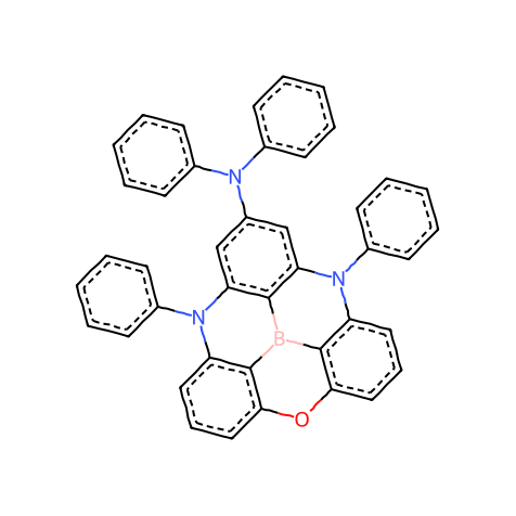 c1ccc(N(c2ccccc2)c2cc3c4c(c2)N(c2ccccc2)c2cccc5c2B4c2c(cccc2N3c2ccccc2)O5)cc1